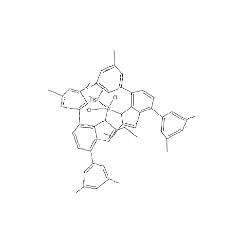 CCC1=Cc2c(-c3cc(C)cc(C)c3)ccc(-c3cc(C)cc(C)c3)c2[CH]1[Zr]([Cl])([Cl])([CH]1C(CC)=Cc2c(-c3cc(C)cc(C)c3)ccc(-c3cc(C)cc(C)c3)c21)[SiH](C)C